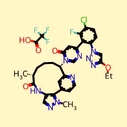 CCOc1cn(-c2ccc(Cl)c(F)c2-c2cc(=O)n([C@H]3CCC[C@@H](C)C(=O)Nc4cnn(C)c4-c4ccnc3c4)cn2)nn1.O=C(O)C(F)(F)F